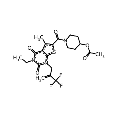 C=C(Cn1c(=O)n(CC)c(=O)c2c(C)c(C(=O)N3CCC(OC(C)=O)CC3)sc21)C(F)(F)F